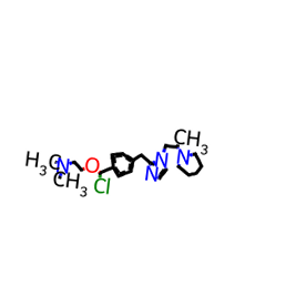 CC(Cn1ccnc1Cc1ccc(C(Cl)OCCN(C)C)cc1)N1CCCCC1